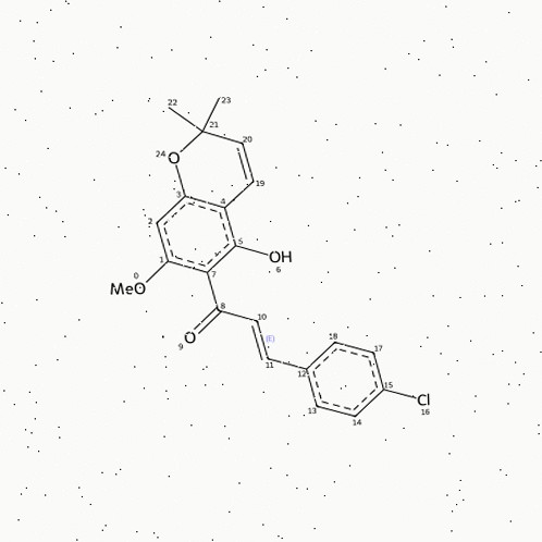 COc1cc2c(c(O)c1C(=O)/C=C/c1ccc(Cl)cc1)C=CC(C)(C)O2